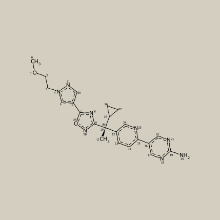 COCCn1cc(-c2nc([C@@](C)(c3ccc(-c4cnc(N)nc4)nc3)C3CC3)no2)cn1